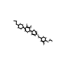 CCCC1CCC(C2=CCC(C3C=CC(OCC4C=C(F)C(OCC)CC4)=CC3)C(F)=C2F)CC1